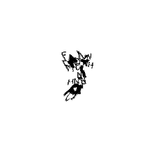 Cc1cc(Nc2nccc(C(=O)Nc3cncnc3OCC(F)(F)F)n2)c(F)cc1Cl